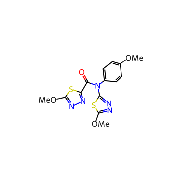 COc1ccc(N(C(=O)c2nnc(OC)s2)c2nnc(OC)s2)cc1